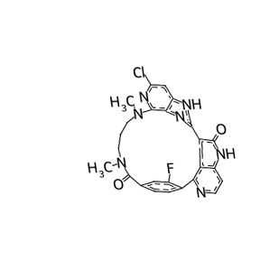 CN1CCCN(C)c2nc(Cl)cc3[nH]c(nc23)-c2cc3c(nccc3[nH]c2=O)-c2ccc(cc2F)C1=O